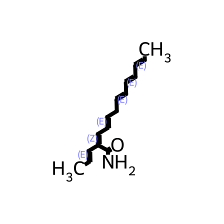 C/C=C/C=C/C=C/C/C=C/C=C(/C=C/C)C(N)=O